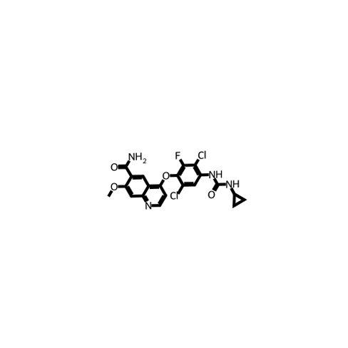 COc1cc2nccc(Oc3c(Cl)cc(NC(=O)NC4CC4)c(Cl)c3F)c2cc1C(N)=O